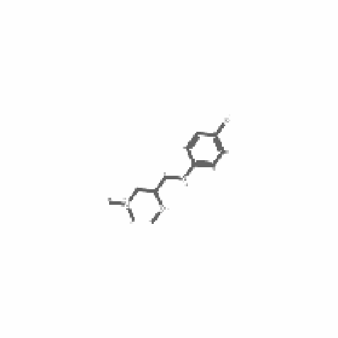 COC(COc1ccc(Br)cc1)CN(C)C